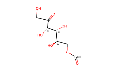 [O]=[GeH][O]C[C@@H](O)[C@@H](O)[C@H](O)C(=O)CO